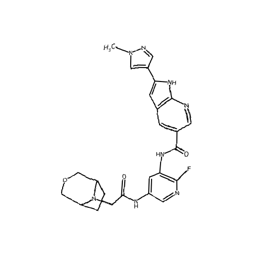 Cn1cc(-c2cc3cc(C(=O)Nc4cc(NC(=O)CN5C6CCC5COC6)cnc4F)cnc3[nH]2)cn1